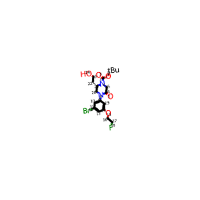 CC(C)(C)OC(=O)N1CC(=O)N(c2cc(Br)cc(OCCF)c2)C[C@@H]1CCO